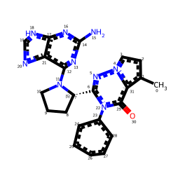 Cc1ccn2nc([C@@H]3CCCN3c3nc(N)nc4[nH]cnc34)n(-c3ccccc3)c(=O)c12